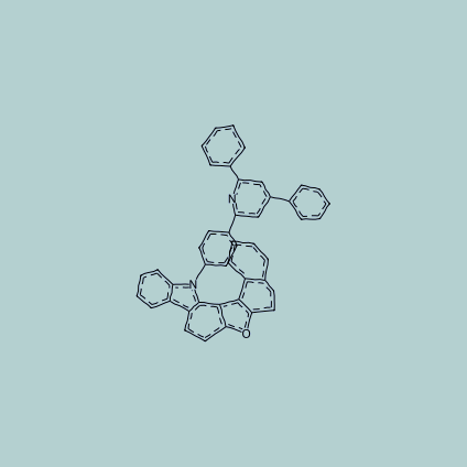 c1ccc(-c2cc(-c3ccccc3)nc(-c3ccc(-n4c5ccccc5c5ccc6oc7ccc8ccccc8c7c6c54)cc3)c2)cc1